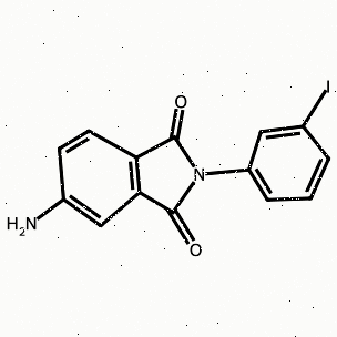 Nc1ccc2c(c1)C(=O)N(c1cccc(I)c1)C2=O